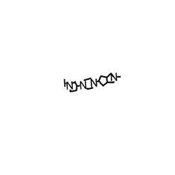 CN1CC2CC(N3CCN(C4CCN(I)C4)CC3)CC2C1